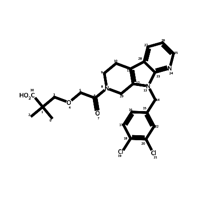 CC(C)(COCC(=O)N1CCc2c(n(Cc3ccc(Cl)c(Cl)c3)c3ncccc23)C1)C(=O)O